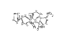 O=C1Nc2ccc([N+](=O)[O-])cc2/C1=C(/Nc1ccc(-n2ccnc2)cc1)c1ccccc1